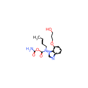 CC=CCN(C(=O)OC(N)=O)n1cnc2cccc(OCCCO)c21